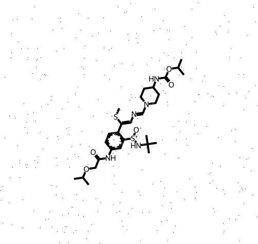 CS/C(=C\N=C\N1CCC(NC(=O)OC(C)C)CC1)c1ccc(NC(=O)COC(C)C)cc1[S+]([O-])NC(C)(C)C